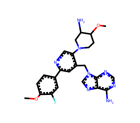 COc1ccc(-c2cc(Cn3cnc4c(N)ncnc43)c(N3CCC(OC)C(N)C3)cn2)cc1F